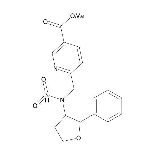 COC(=O)c1ccc(CN(C2CCOC2c2ccccc2)[SH](=O)=O)nc1